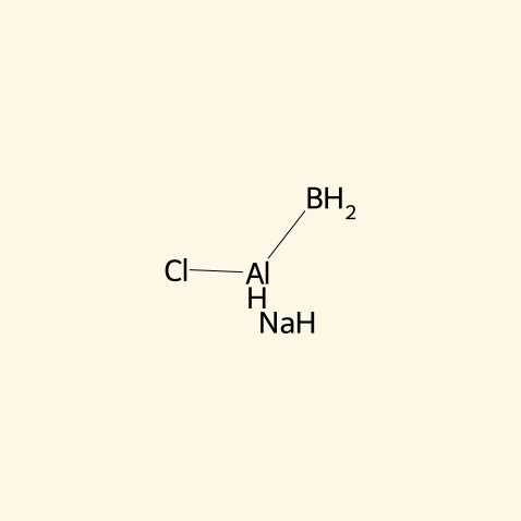 [BH2][AlH][Cl].[NaH]